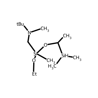 CCO[Si](C)(CN(C)C(C)(C)C)OC(C)[SiH](C)C